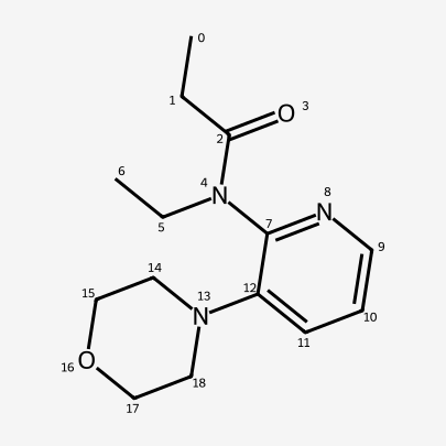 CCC(=O)N(CC)c1ncccc1N1CCOCC1